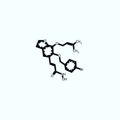 CC(C)=CCOc1c(OCc2ccc(Br)cc2)c(/C=C/C(=O)NO)cc2ccoc12